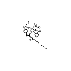 CCCCCCCCCCCCNC(=O)N(C)c1ccc2nc(CCCC)n(Cc3ccc(-c4ccccc4C(=O)OC(=O)C(F)(F)F)cc3)c2c1